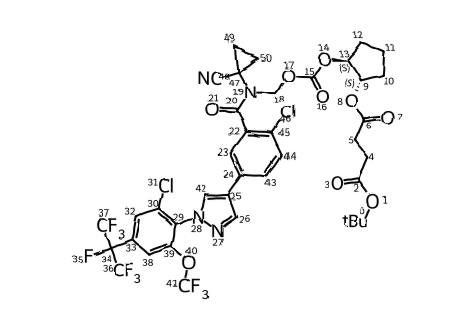 CC(C)(C)OC(=O)CCC(=O)O[C@H]1CCC[C@@H]1OC(=O)OCN(C(=O)c1cc(-c2cnn(-c3c(Cl)cc(C(F)(C(F)(F)F)C(F)(F)F)cc3OC(F)(F)F)c2)ccc1Cl)C1(C#N)CC1